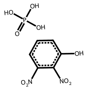 O=P(O)(O)O.O=[N+]([O-])c1cccc(O)c1[N+](=O)[O-]